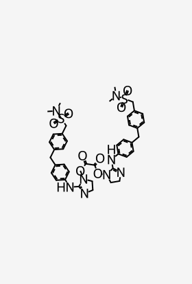 CN(C)S(=O)(=O)Cc1ccc(Cc2ccc(NC3=NCCN3OC(=O)C(=O)ON3CCN=C3Nc3ccc(Cc4ccc(CS(=O)(=O)N(C)C)cc4)cc3)cc2)cc1